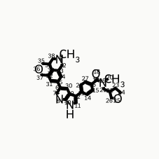 CN1Cc2cc(-c3cnc4[nH]cc(-c5ccc(C(=O)N(C)CC6CCOC6)cc5)c4c3)cc3c2C(COC3)C1